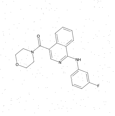 O=C(c1cnc(Nc2cccc(F)c2)c2ccccc12)N1CCOCC1